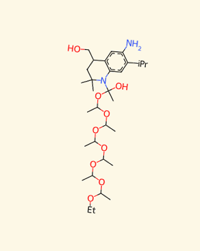 CCOC(C)OC(C)OC(C)OC(C)OC(C)OC(C)OC(C)(O)N1c2cc(C(C)C)c(N)cc2C(CO)CC1(C)C